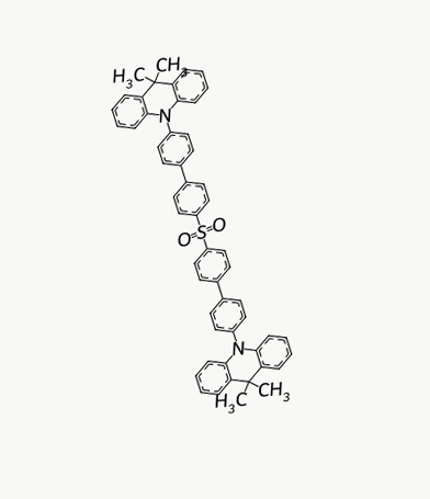 CC1(C)c2ccccc2N(c2ccc(-c3ccc(S(=O)(=O)c4ccc(-c5ccc(N6c7ccccc7C(C)(C)c7ccccc76)cc5)cc4)cc3)cc2)c2ccccc21